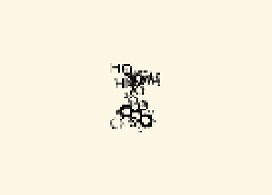 O=C(COc1ccc(Cl)c2sc3ccccc3c(=O)c12)NC(CO)(CO)CO